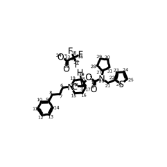 O=C(O[C@H]1C[N+]2(CCCc3ccccc3)CCC1CC2)N(Cc1cccs1)C1CCCC1.O=C([O-])C(F)(F)F